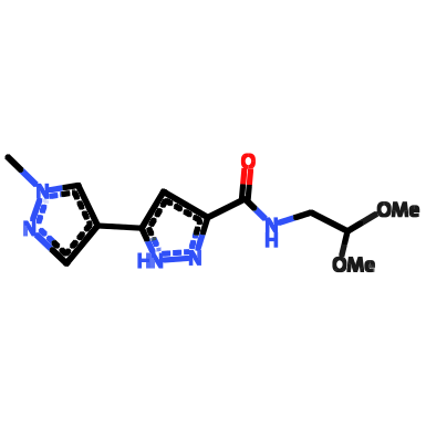 COC(CNC(=O)c1cc(-c2cnn(C)c2)[nH]n1)OC